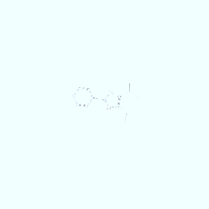 CC(O)c1[nH]c(-c2ccccc2)nc1CO